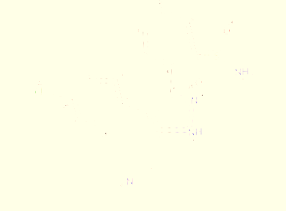 N#Cc1[nH]nc(-c2ccccc2S(N)(=O)=O)c1-c1ccc(Cl)cc1